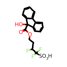 O=C(OCCC(F)C(F)(F)S(=O)(=O)O)C1(O)c2ccccc2-c2ccccc21